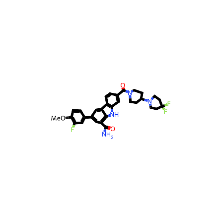 COc1ccc(-c2cc(C(N)=O)c3[nH]c4cc(C(=O)N5CCC(N6CCC(F)(F)CC6)CC5)ccc4c3c2)cc1F